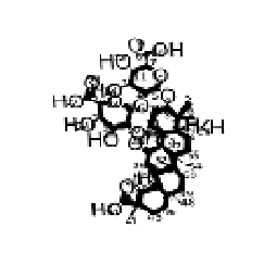 CC1(C)[C@@H](O[C@H]2O[C@H](C(=O)O)[C@@H](O)[C@H](O)[C@H]2O[C@@H]2O[C@H](C(=O)O)[C@@H](O)[C@H](O)[C@H]2O)CC[C@]2(C)[C@H]3C(=O)C=C4[C@@H]5C[C@@](C)(C(=O)O)CC[C@]5(C)CC[C@@]4(C)[C@]3(C)CC[C@@H]12.[KH]